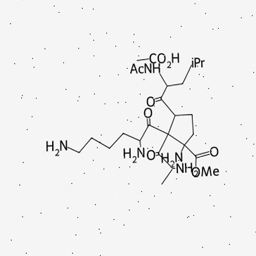 CC(=O)O.COC(=O)C1(N)CCC(C(=O)C(CC(C)C)NC(C)=O)C1(C(=O)C(C)N)C(=O)C(N)CCCCN